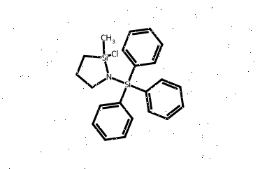 C[Si]1(Cl)CCCN1[Si](c1ccccc1)(c1ccccc1)c1ccccc1